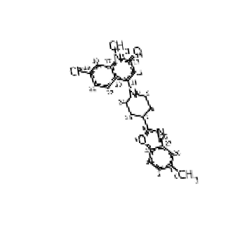 Cc1ccc2oc(C3CCN(c4cc(=O)n(C)c5cc(Cl)ccc45)CC3)nc2c1